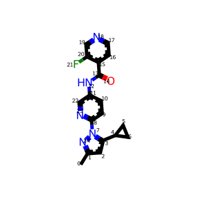 Cc1cc(C2CC2)n(-c2ccc(NC(=O)c3ccncc3F)cn2)n1